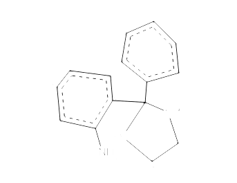 Nc1ccccc1C1(c2ccccc2)SCCS1